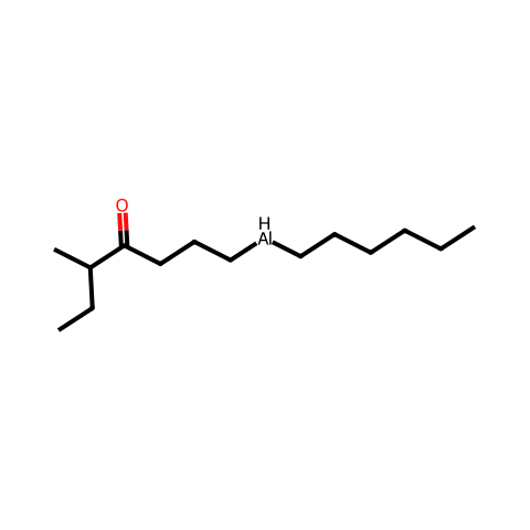 CCCCC[CH2][AlH][CH2]CCC(=O)C(C)CC